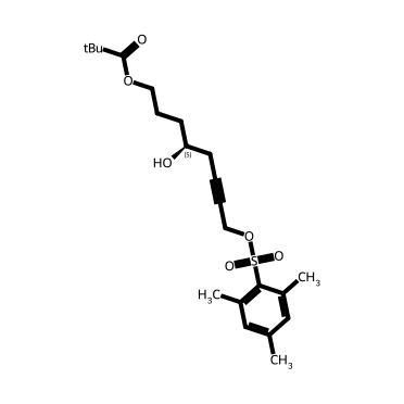 Cc1cc(C)c(S(=O)(=O)OCC#CC[C@@H](O)CCCOC(=O)C(C)(C)C)c(C)c1